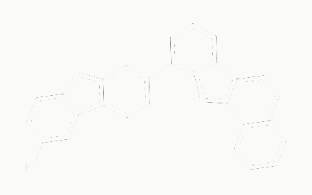 Brc1ccc2sc3cc(-c4cccc5c4sc4c6ccccc6ccc54)ccc3c2c1